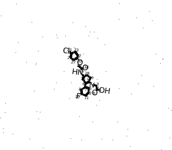 O=C(O)Cn1c2c(c3cc(F)ccc31)CC(NC(=O)COc1ccc(Cl)cc1)CC2